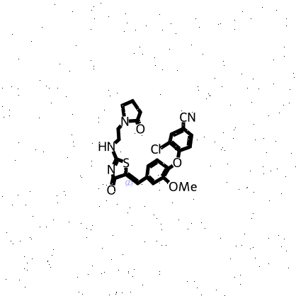 COc1cc(/C=C2\SC(NCCN3CCCC3=O)=NC2=O)ccc1Oc1ccc(C#N)cc1Cl